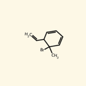 C=CC1C=CC=CC1(C)Br